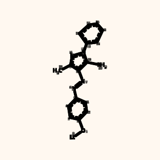 CCOc1ccc(N=Nc2c(C)nn(-c3ccccc3)c2N)cc1